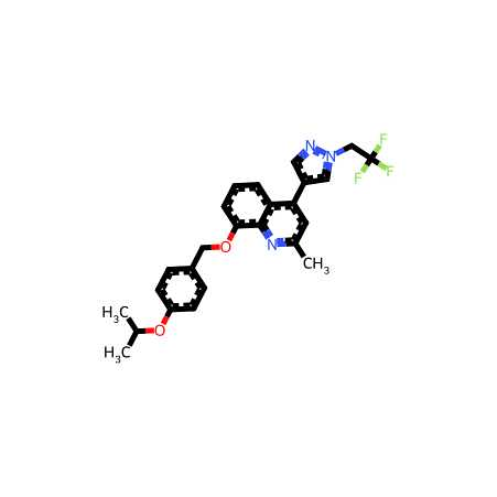 Cc1cc(-c2cnn(CC(F)(F)F)c2)c2cccc(OCc3ccc(OC(C)C)cc3)c2n1